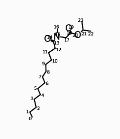 CCCCCCCCCCCCCC(=O)N(C)CC(=O)OC(C)C